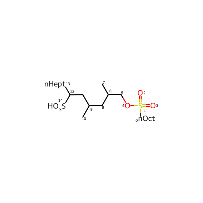 CCCCCCCCS(=O)(=O)OCC(C)CC(C)CC(CCCCCCC)S(=O)(=O)O